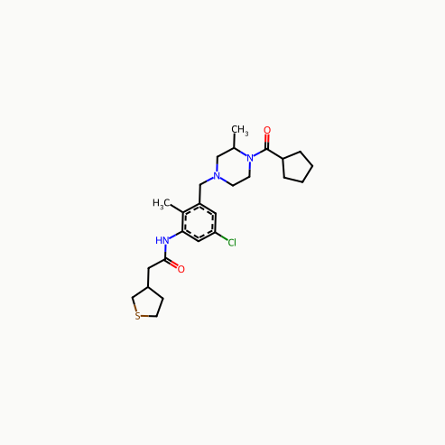 Cc1c(CN2CCN(C(=O)C3CCCC3)C(C)C2)cc(Cl)cc1NC(=O)CC1CCSC1